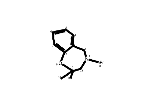 CC(C)N1Cc2ccccc2OC(C)(C)C1